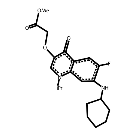 COC(=O)COc1cn(C(C)C)c2cc(NC3CCCCC3)c(F)cc2c1=O